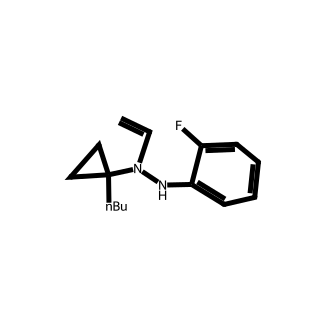 C=CN(Nc1ccccc1F)C1(CCCC)CC1